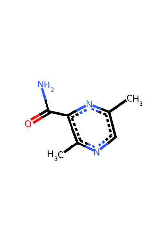 Cc1cnc(C)c(C(N)=O)n1